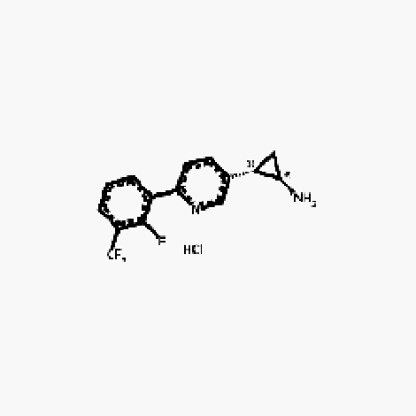 Cl.N[C@@H]1C[C@H]1c1ccc(-c2cccc(C(F)(F)F)c2F)nc1